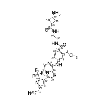 CCc1cc(Nc2nccn3c(-c4cn(CC#N)nc4C(F)(F)F)cnc23)ccc1C(=O)NCCNC(=O)C1CC(N)C1